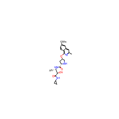 CCC[C@H](NC(=O)[C@@H]1C[C@@H](Oc2nc(C)cc3cc(OC)ccc23)CN1)C(O)C(=O)NC1CC1